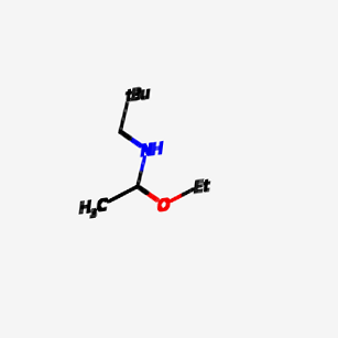 CCOC(C)NCC(C)(C)C